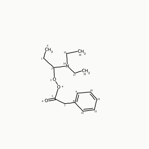 CCC(OOC(=O)Cc1ccccc1)N(CC)CC